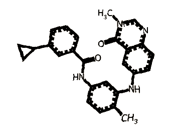 Cc1ccc(NC(=O)c2cccc(C3CC3)c2)cc1Nc1ccc2ncn(C)c(=O)c2c1